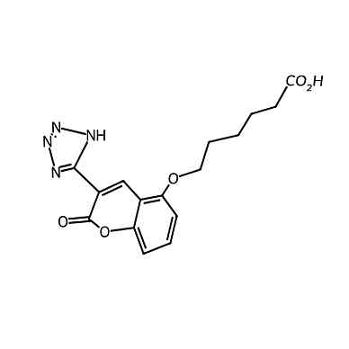 O=C(O)CCCCCOc1cccc2oc(=O)c(-c3nnn[nH]3)cc12